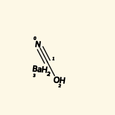 N#CO.[BaH2]